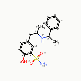 CC(Cc1ccc(O)c(S(N)(=O)=O)c1)NC(C)c1ccccc1